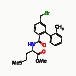 COC(=O)C(CCSC)NC(=O)c1ccc(CBr)cc1-c1ccccc1C